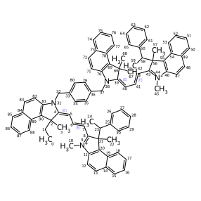 CCC1(C)/C(=C\C=C\C2=[N+](C)c3ccc4ccccc4c3C2(C)C(C)c2ccccc2)N(Cc2ccc(CN3/C(=C/C=C/C4=[N+](C)c5ccc6ccccc6c5C4(C)C(C)c4ccccc4)C(C)(C)c4c3ccc3ccccc43)cc2)c2ccc3ccccc3c21